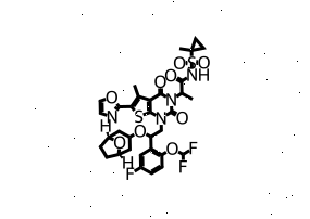 Cc1c(-c2ncco2)sc2c1c(=O)n(C(C)C(=O)NS(=O)(=O)C1(C)CC1)c(=O)n2CC(OC1C[C@H]2CC[C@@H](C1)O2)c1cc(F)ccc1OC(F)F